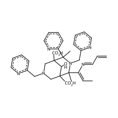 C=CC=NC(=CC)C1(C)N(Cc2ccccn2)C(C)(c2ccccn2)C2(C(=O)O)CN(Cc3ccccn3)CC1(C(=O)O)C2O